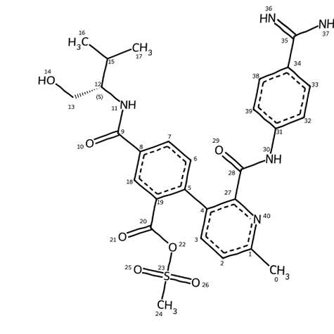 Cc1ccc(-c2ccc(C(=O)N[C@H](CO)C(C)C)cc2C(=O)OS(C)(=O)=O)c(C(=O)Nc2ccc(C(=N)N)cc2)n1